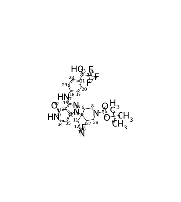 CC(C)(C)OC(=O)N1CCC(CC#N)(n2nc(Nc3ccc(C(O)C(F)(F)F)cc3)c3c(=O)[nH]ccc32)C(F)C1